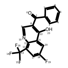 O=C(c1ccccc1)c1cnc2c(C(F)(F)F)cc(F)cc2c1O